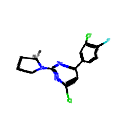 C[C@H]1CCCN1c1nc(Cl)cc(-c2ccc(F)c(Cl)c2)n1